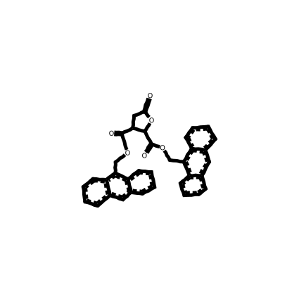 O=C1CC(C(=O)OCc2c3ccccc3cc3ccccc23)C(C(=O)OCc2c3ccccc3cc3ccccc23)O1